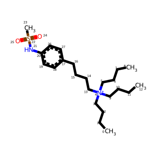 CCCC[N+](CCCC)(CCCC)CCCCc1ccc(NS(C)(=O)=O)cc1